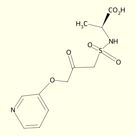 C[C@H](NS(=O)(=O)CC(=O)COc1cccnc1)C(=O)O